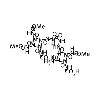 COOCNC(=O)CN1CCN(CC(=O)NCCNc2c(NCCNC(=O)CN3CCN(CC(N)=O)CCN(CC(=O)NCC(=O)O)CCN(CC(=O)NCOOC)CC3)c(=O)c2=O)CCN(CC(=O)NCC(=O)O)CCN(CC(=O)NCOOC)CC1